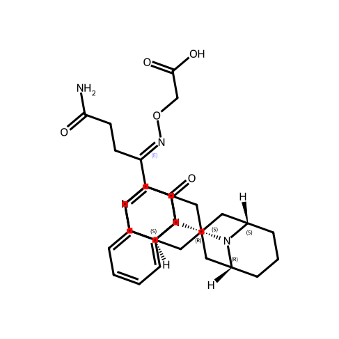 NC(=O)CC/C(=N\OCC(=O)O)c1nc2ccccc2n([C@H]2C[C@H]3CCC[C@@H](C2)N3[C@H]2CC3CCC[C@@H](C3)C2)c1=O